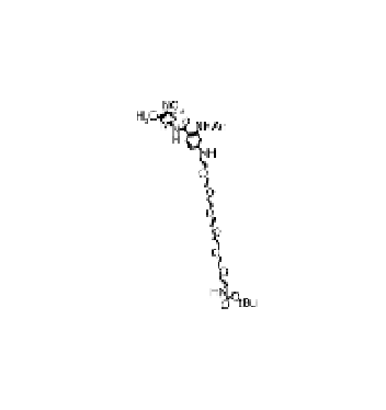 CC(=O)Nc1cc(NCCOCCOCCOCCOCCOCCOCCNC(=O)OC(C)(C)C)ccc1C(=O)Nc1nc(C)c([N+](=O)[O-])s1